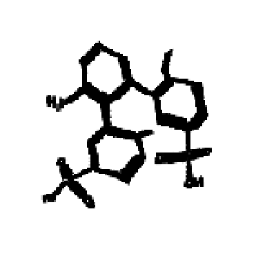 Cc1ccc(S(=O)(=O)O)cc1-c1cccc(P)c1-c1cc(S(=O)(=O)O)ccc1C